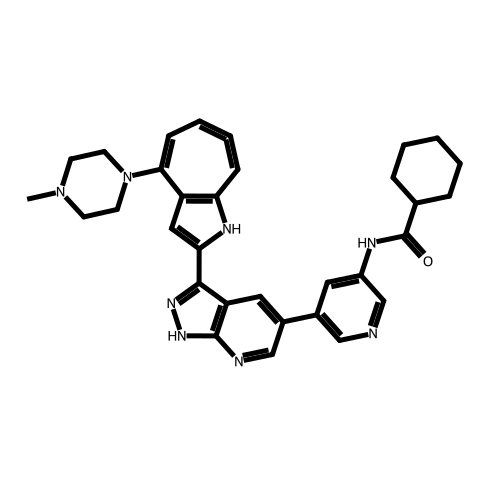 CN1CCN(C2=CC=C=Cc3[nH]c(-c4n[nH]c5ncc(-c6cncc(NC(=O)C7CCCCC7)c6)cc45)cc32)CC1